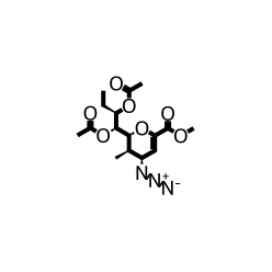 CC[C@@H](OC(C)=O)[C@@H](OC(C)=O)[C@@H]1OC(C(=O)OC)=C[C@H](N=[N+]=[N-])[C@H]1C